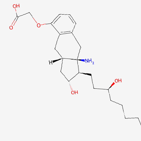 CCCCC[C@H](O)CC[C@H]1[C@H](O)C[C@@H]2Cc3c(cccc3OCC(=O)O)C[C@@]21N